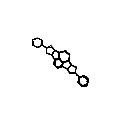 C1=C(c2ccccc2)SC2C3=c4c(ccc5c4=C(CC3)C3SC(C4=CCCCC4)CC53)C12